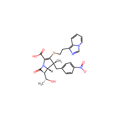 C[C@@H](O)[C@H]1C(=O)N2C(C(=O)O)=C(SCCc3ncn4ccccc34)[C@](C)(Cc3ccc([N+](=O)[O-])cc3)[C@H]12